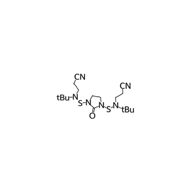 CC(C)(C)N(CCC#N)SN1CCN(SN(CCC#N)C(C)(C)C)C1=O